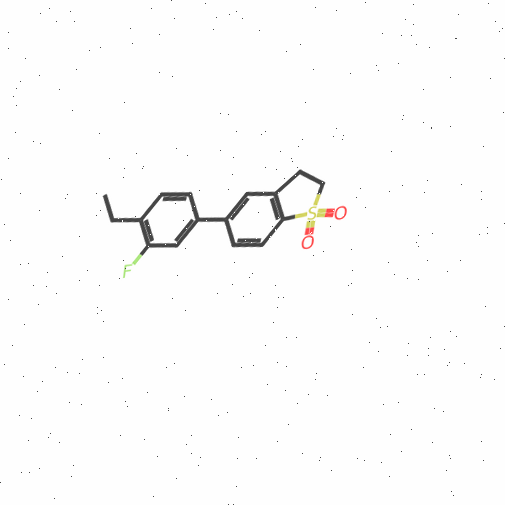 CCc1ccc(-c2ccc3c(c2)CCS3(=O)=O)cc1F